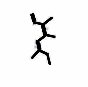 C=N/C(C)=C(C)\N=C(\C)CC